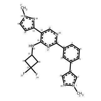 Cn1cc(-c2cccc(-c3ncc(-c4ccn(C)n4)c(NC4CC(F)(F)C4)n3)c2)cn1